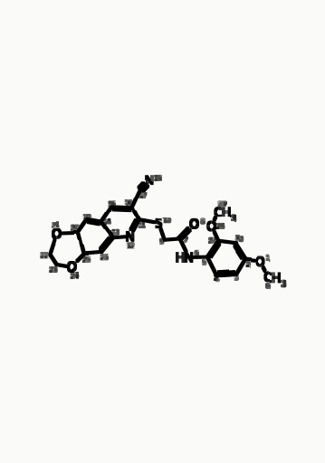 COc1ccc(NC(=O)CSc2nc3c(cc2C#N)=CC2OCCOC2C=3)c(OC)c1